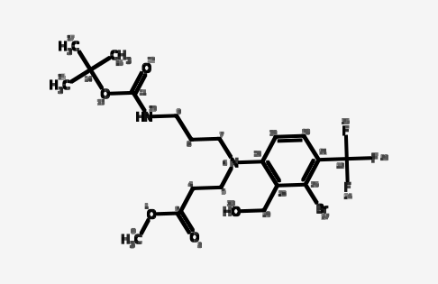 COC(=O)CCN(CCCNC(=O)OC(C)(C)C)c1ccc(C(F)(F)F)c(Br)c1CO